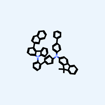 CC1(C)c2ccccc2-c2ccc(N(c3ccc(-c4ccccc4)cc3)c3ccc(-c4ccccc4-n4c5ccccc5c5c(-c6ccc7ccccc7c6)cccc54)cc3)cc21